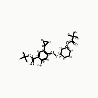 CC(C)(C)OC(=O)c1cc(C2CC2)c(OC[C@H]2CCCN(OC(=O)C(C)(C)C)C2)cc1F